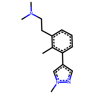 Cc1c(CCN(C)C)cccc1-c1cnn(C)c1